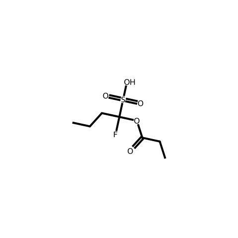 CCCC(F)(OC(=O)CC)S(=O)(=O)O